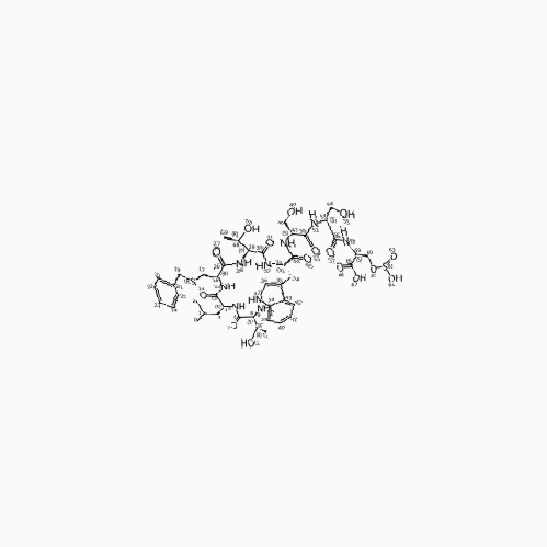 CC(C)C[C@H](NC(=O)[C@@H](N)[C@@H](C)O)C(=O)N[C@@H](CSCc1ccccc1)C(=O)N[C@H](C(=O)N[C@@H](Cc1c[nH]c2ccccc12)C(=O)N[C@@H](CO)C(=O)N[C@@H](CO)C(=O)N[C@@H](COS(=O)O)C(=O)O)[C@@H](C)O